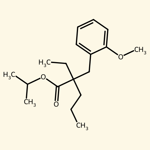 CCCC(CC)(Cc1ccccc1OC)C(=O)OC(C)C